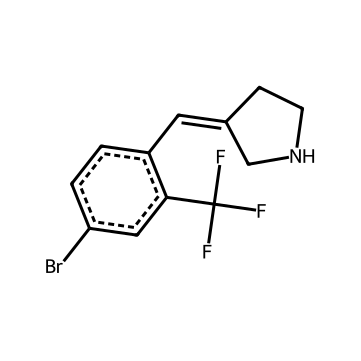 FC(F)(F)c1cc(Br)ccc1C=C1CCNC1